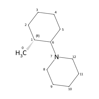 C[C@@H]1CCCCC1N1CCCCC1